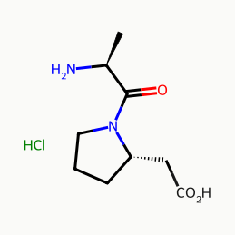 C[C@H](N)C(=O)N1CCC[C@H]1CC(=O)O.Cl